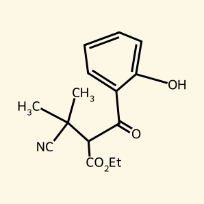 CCOC(=O)C(C(=O)c1ccccc1O)C(C)(C)C#N